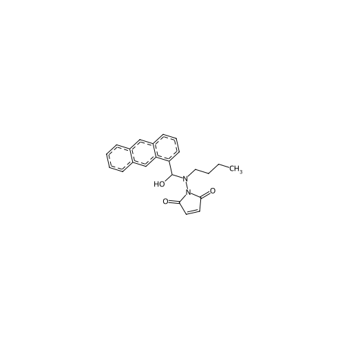 CCCCN(C(O)c1cccc2cc3ccccc3cc12)N1C(=O)C=CC1=O